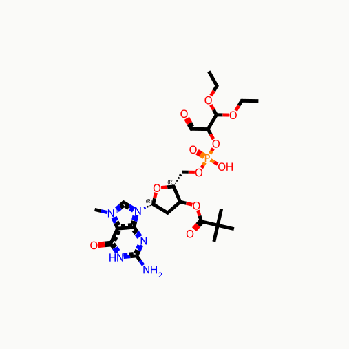 CCOC(OCC)C(C=O)OP(=O)(O)OC[C@H]1O[C@@H](n2c[n+](C)c3c(=O)[nH]c(N)nc32)CC1OC(=O)C(C)(C)C